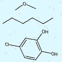 CCCCCC.COC.Oc1ccc(Cl)cc1O